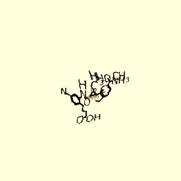 CNC(O)c1ccc2c(c1)[C@@]1(CC2)[C@H](C(=O)Nc2cc(C#N)ccc2CCCC(=O)O)[C@@H]1C